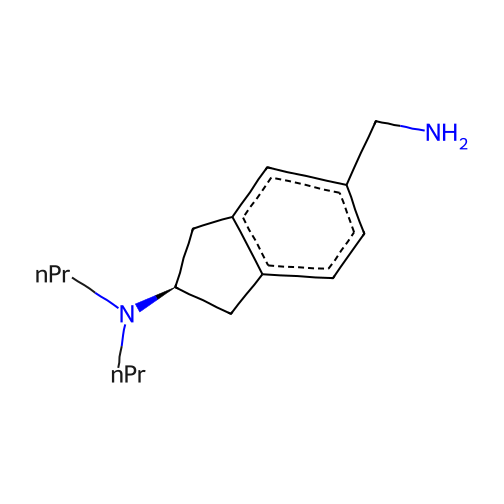 CCCN(CCC)[C@@H]1Cc2ccc(CN)cc2C1